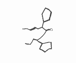 CCCC(C(=O)C(CCC)C1CCCC1)C1CCCC1